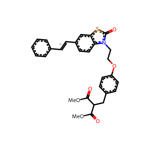 COC(=O)C(Cc1ccc(OCCn2c(=O)sc3cc(/C=C/c4ccccc4)ccc32)cc1)C(=O)OC